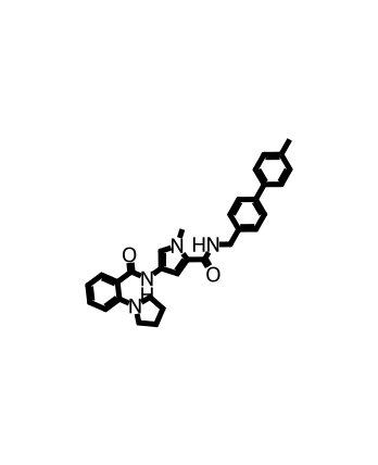 Cc1ccc(-c2ccc(CNC(=O)c3cc(NC(=O)c4ccccc4N4CCCC4)cn3C)cc2)cc1